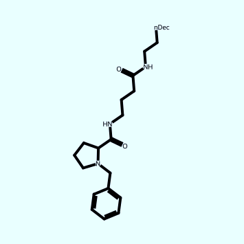 CCCCCCCCCCCCNC(=O)CCCNC(=O)C1CCCN1Cc1ccccc1